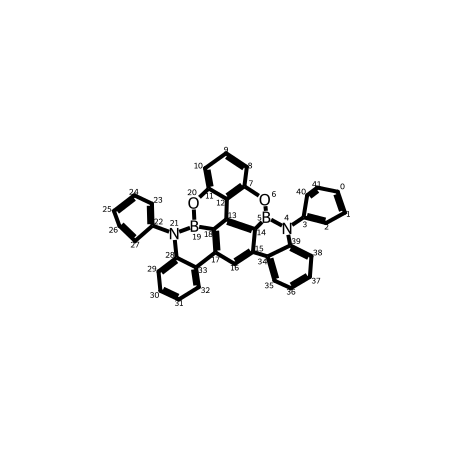 c1ccc(N2B3Oc4cccc5c4-c4c3c(cc3c4B(O5)N(c4ccccc4)c4ccccc4-3)-c3ccccc32)cc1